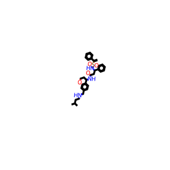 C=C(c1ccccc1)S(=O)(=O)NC(CC(=O)NC1CCOc2cc(CNCCC(C)C)ccc21)c1ccccc1